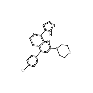 Clc1ccc(-c2cc(N3CCOCC3)nc3c(-c4ccn[nH]4)nccc23)cc1